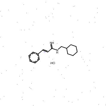 Cl.N=C(/C=C/c1ccccc1)NCC1CCCCC1